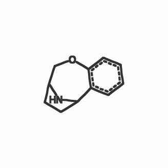 c1ccc2c(c1)OCC1CCC2N1